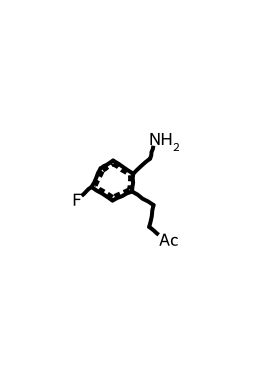 CC(=O)CCc1cc(F)ccc1CN